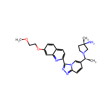 COCCOc1ccc2ccc(-c3nnc4ccc([C@H](C)N5CC[C@](C)(N)C5)cn34)nc2c1